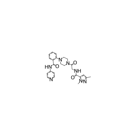 Cc1cc(C(=O)NCC(=O)N2CCN(c3ccccc3C(=O)Nc3ccncc3)CC2)n(C)n1